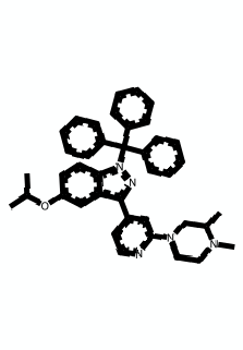 CC(C)Oc1ccc2c(c1)c(-c1ccnc(N3CCN(C)C(C)C3)c1)nn2C(c1ccccc1)(c1ccccc1)c1ccccc1